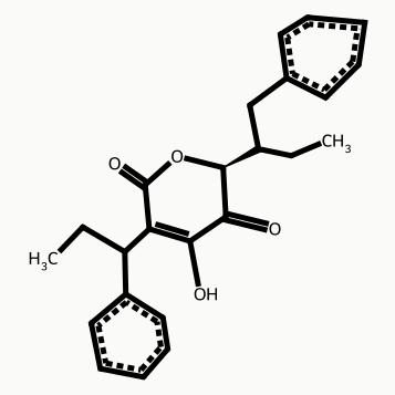 CCC(C1=C(O)C(=O)[C@H](C(CC)Cc2ccccc2)OC1=O)c1ccccc1